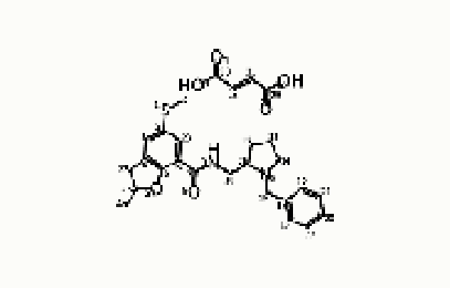 CSc1cc2c(c(C(=O)NCC3CCCN3Cc3ccccc3)c1)OC(C)C2.O=C(O)C=CC(=O)O